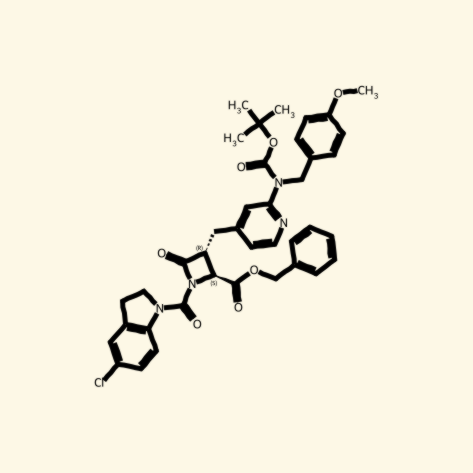 COc1ccc(CN(C(=O)OC(C)(C)C)c2cc(C[C@H]3C(=O)N(C(=O)N4CCc5cc(Cl)ccc54)[C@@H]3C(=O)OCc3ccccc3)ccn2)cc1